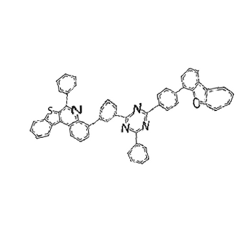 c1ccc(-c2nc(-c3ccc(-c4cccc5c4oc4ccccc45)cc3)nc(-c3cccc(-c4cccc5c4nc(-c4ccccc4)c4sc6ccccc6c45)c3)n2)cc1